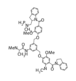 C=Nc1cc(OCc2cc(COc3ccc(C(=O)N4c5ccccc5CC4CN(C)P)cc3OC)cc(NC(=O)C(C)NC)c2)c(OC)cc1C(=O)N1CCc2ccccc21